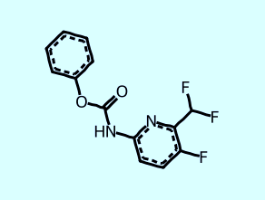 O=C(Nc1ccc(F)c(C(F)F)n1)Oc1ccccc1